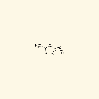 CC1OC[C@H](C=O)O1